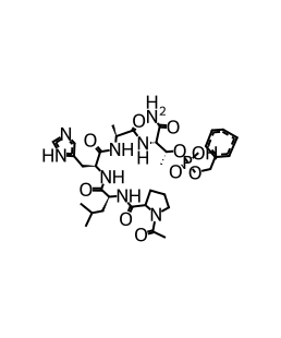 CC(=O)N1CCCC1C(=O)N[C@@H](CC(C)C)C(=O)N[C@@H](Cc1cnc[nH]1)C(=O)N[C@@H](C)C(=O)N[C@H](C(N)=O)[C@@H](C)OP(=O)(O)OCc1ccccc1